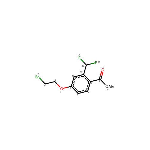 COC(=O)c1ccc(OCCBr)cc1C(F)F